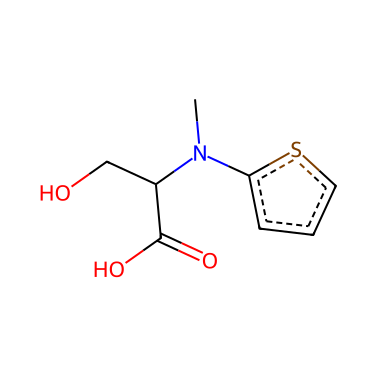 CN(c1cccs1)C(CO)C(=O)O